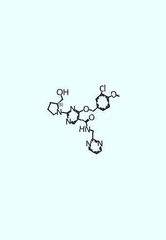 COc1ccc(COc2nc(N3CCC[C@H]3CO)ncc2C(=O)NCc2ncccn2)cc1Cl